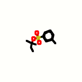 CCC(C)(C)OS(=O)(=O)c1cccc(C)c1